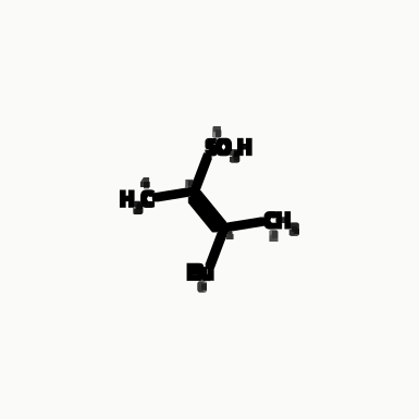 CCC(C)C(C)=C(C)S(=O)(=O)O